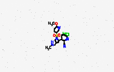 CNCc1cc(-c2cccnc2C#N)n(S(=O)(=O)c2ccc(OC)nc2)c1.Cl